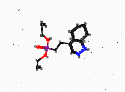 CCOP(=O)(CCc1cnnc2ccccc12)OCC